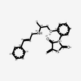 C=C1SC(=O)N(c2ccccc2OCC(C)NCC=Cc2ccccc2)C1=O